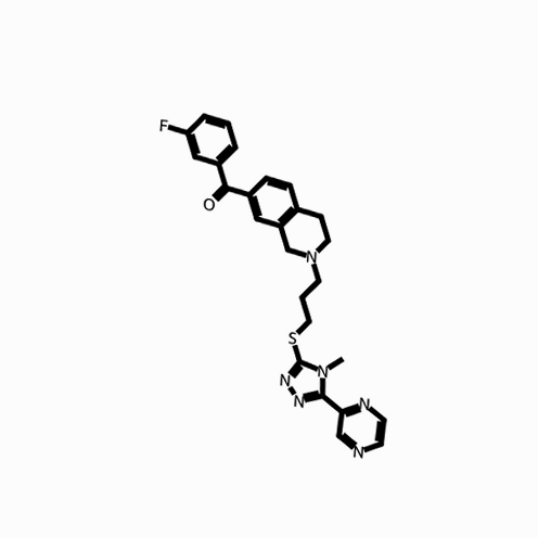 Cn1c(SCCCN2CCc3ccc(C(=O)c4cccc(F)c4)cc3C2)nnc1-c1cnccn1